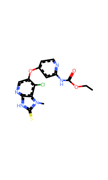 CCOC(=O)Nc1cc(Oc2cnc3[nH]c(=S)n(C)c3c2Cl)ccn1